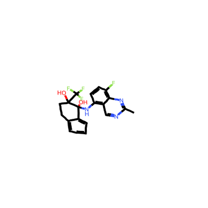 Cc1ncc2c(NC3(O)c4ccccc4CCC3(O)C(F)(F)F)ccc(F)c2n1